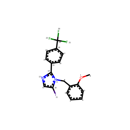 COc1ccccc1Cn1c(I)cnc1-c1ccc(C(F)(F)F)cc1